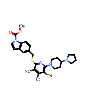 CCc1c(C#N)c(SCc2ccc3c(ccn3C(=O)OC(C)(C)C)c2)nc(N2CCC(N3CCCC3)CC2)c1C#N